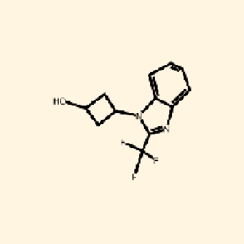 OC1CC(n2c(C(F)(F)F)nc3ccccc32)C1